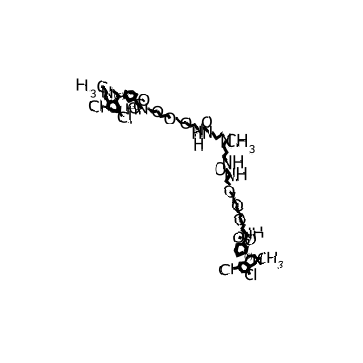 CN(CCCNC(=O)NCCOCCOCCOCCNS(=O)(=O)c1cccc([C@@H]2CN(C)Cc3c(Cl)cc(Cl)cc32)c1)CCCNC(=O)NCCOCCOCCOCCNS(=O)(=O)c1cccc([C@@H]2CN(C)Cc3c(Cl)cc(Cl)cc32)c1